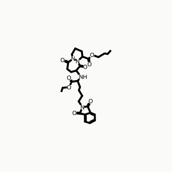 CCCCOC(=O)C1CCCN2C(=O)CCC(NC(CCCCN3C(=O)c4ccccc4C3=O)C(=O)OCC)C(=O)N12